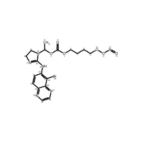 CC(OC(=O)OCCCCOON=O)N1CCN=C1Nc1ccc2nccnc2c1Br